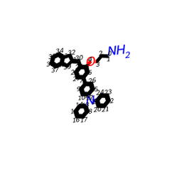 NCCCOc1cc(-c2ccc(N(c3ccccc3)c3ccccc3)cc2)ccc1C=C1Cc2ccccc2C1